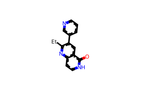 CCc1nc2cc[nH]c(=O)c2cc1-c1cccnc1